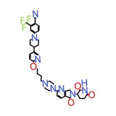 N#Cc1ccc(N2CCC(c3ccc(OCCCCN4CCN(c5ccc6c(n5)CN(C5CCC(=O)NC5=O)C6=O)CC4)nc3)CC2)cc1C(F)(F)F